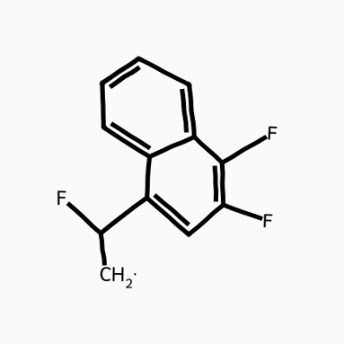 [CH2]C(F)c1cc(F)c(F)c2ccccc12